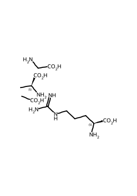 CC(=O)O.C[C@H](N)C(=O)O.N=C(N)NCCC[C@H](N)C(=O)O.NCC(=O)O